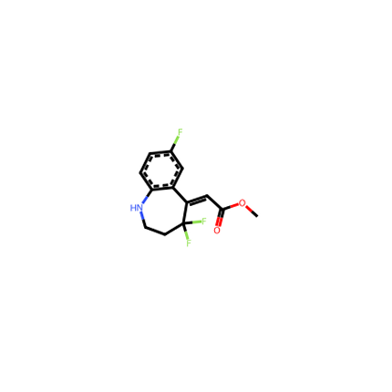 COC(=O)/C=C1/c2cc(F)ccc2NCCC1(F)F